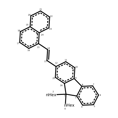 CCCCCCC1(CCCCCC)c2ccccc2-c2ccc(C=Cc3cccc4ccccc34)cc21